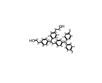 Cc1ccc(N(c2ccc(C)cc2)c2ccc(CC(c3ccc(CCO)cc3)c3ccc(CCO)cc3)cc2)cc1